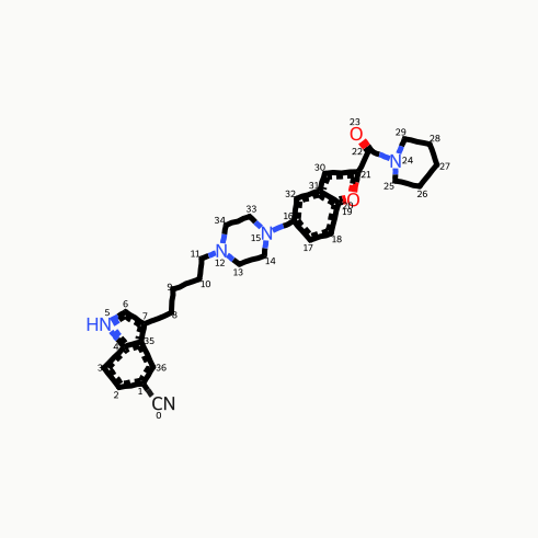 N#Cc1ccc2[nH]cc(CCCCN3CCN(c4ccc5oc(C(=O)N6CCCCC6)cc5c4)CC3)c2c1